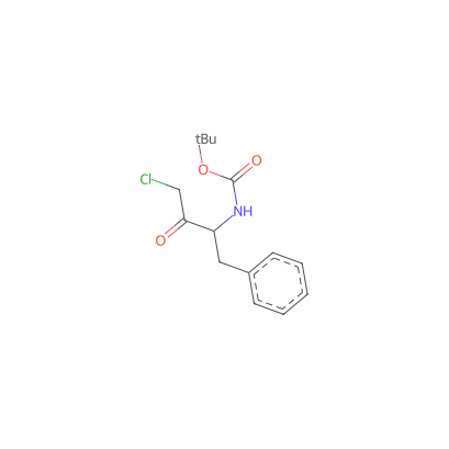 CC(C)(C)OC(=O)NC(Cc1ccccc1)C(=O)CCl